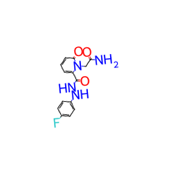 NC(=O)Cn1c(C(=O)NNc2ccc(F)cc2)cccc1=O